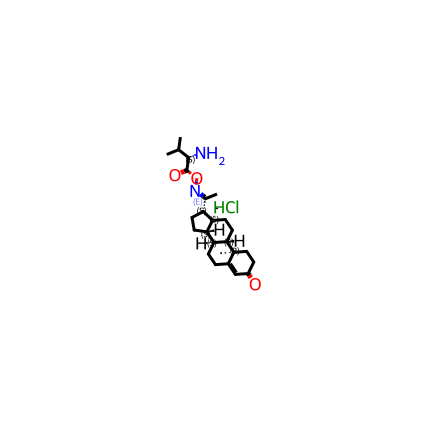 C/C(=N\OC(=O)[C@@H](N)C(C)C)[C@H]1CC[C@H]2[C@@H]3CCC4=CC(=O)CC[C@]4(C)[C@H]3CC[C@]12C.Cl